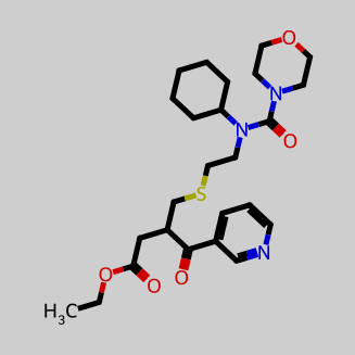 CCOC(=O)CC(CSCCN(C(=O)N1CCOCC1)C1CCCCC1)C(=O)c1cccnc1